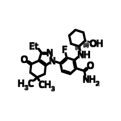 CCc1nn(-c2ccc(C(N)=O)c(N[C@H]3CCCC[C@@H]3O)c2F)c2c1C(=O)CC(C)(C)C2